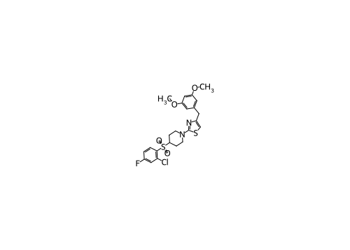 COc1cc(Cc2csc(N3CCC(S(=O)(=O)c4ccc(F)cc4Cl)CC3)n2)cc(OC)c1